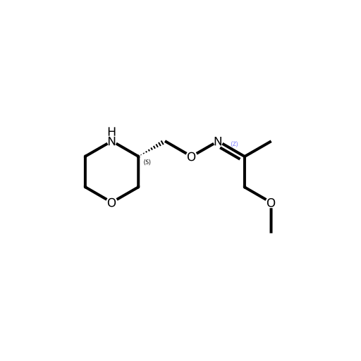 COC/C(C)=N\OC[C@@H]1COCCN1